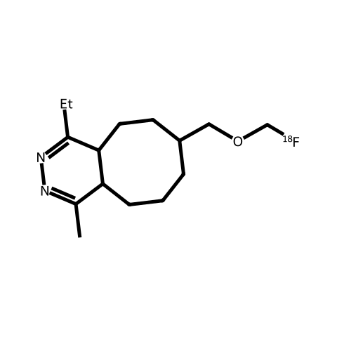 CCC1=NN=C(C)C2CCCC(COC[18F])CCC12